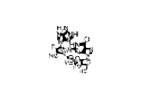 Nc1nc2c(ncn2[C@@H]2S[C@H](CO)[C@@H](O)[C@H]2O[P@](=O)(S)OC[C@H]2O[C@@H](n3cnc4c3N=CNC4N)[C@@H](F)[C@@H]2O)c(=O)[nH]1